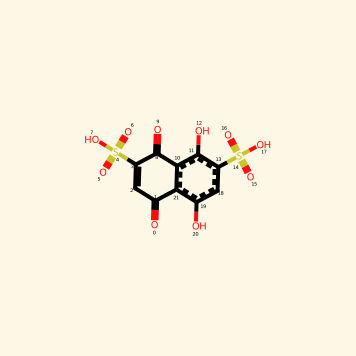 O=C1C=C(S(=O)(=O)O)C(=O)c2c(O)c(S(=O)(=O)O)cc(O)c21